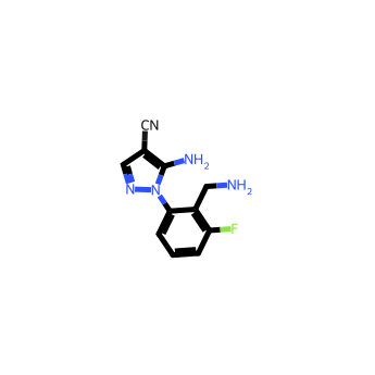 N#Cc1cnn(-c2cccc(F)c2CN)c1N